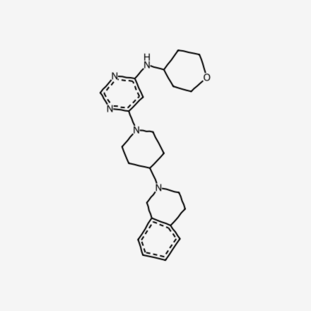 c1ccc2c(c1)CCN(C1CCN(c3cc(NC4CCOCC4)ncn3)CC1)C2